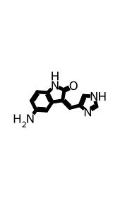 Nc1ccc2c(c1)C(=Cc1c[nH]cn1)C(=O)N2